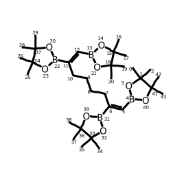 CC1(C)OB(C=C(CCCCC(=CB2OC(C)(C)C(C)(C)O2)B2OC(C)(C)C(C)(C)O2)B2OC(C)(C)C(C)(C)O2)OC1(C)C